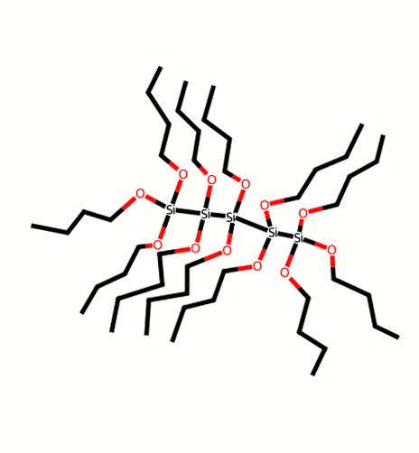 CCCCO[Si](OCCCC)(OCCCC)[Si](OCCCC)(OCCCC)[Si](OCCCC)(OCCCC)[Si](OCCCC)(OCCCC)[Si](OCCCC)(OCCCC)OCCCC